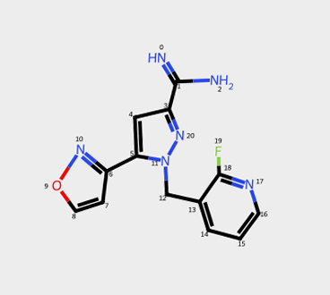 N=C(N)c1cc(-c2ccon2)n(Cc2cccnc2F)n1